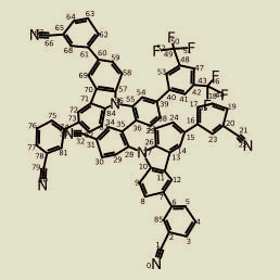 N#Cc1cccc(-c2ccc3c(c2)c2cc(-c4cccc(C#N)c4)ccc2n3-c2ccc(C#N)cc2-c2ccc(-c3cc(C(F)(F)F)cc(C(F)(F)F)c3)cc2-n2c3ccc(-c4cccc(C#N)c4)cc3c3cc(-c4cccc(C#N)c4)ccc32)c1